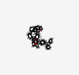 c1ccc(C[Si]2(c3ccccc3)c3ccccc3-c3ccccc3[Si](Cc3ccccc3)(c3ccccc3)c3cc(-n4c5ccccc5c5cc(-n6c7ccccc7c7ccccc76)ccc54)ccc32)cc1